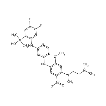 COc1cc(N(C)CCN(C)C)c([N+](=O)[O-])cc1Nc1ncnc(Nc2cc(F)c(F)cc2C(C)(C)O)n1